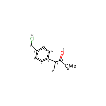 COC(=O)C(C)c1ccc(CCl)cc1